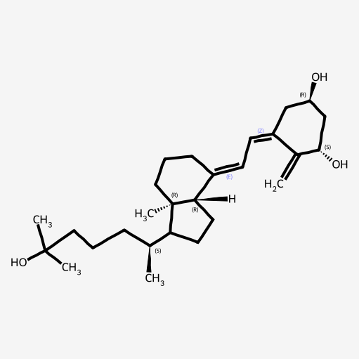 C=C1/C(=C\C=C2/CCC[C@]3(C)C([C@@H](C)CCCC(C)(C)O)CC[C@@H]23)C[C@@H](O)C[C@@H]1O